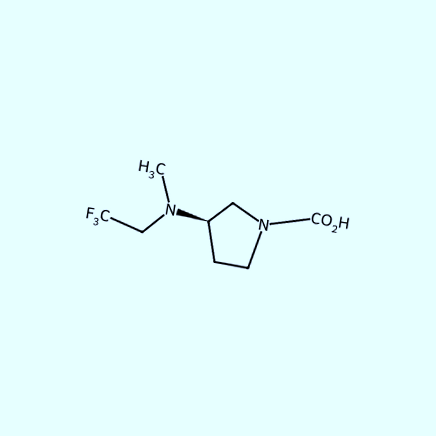 CN(CC(F)(F)F)[C@@H]1CCN(C(=O)O)C1